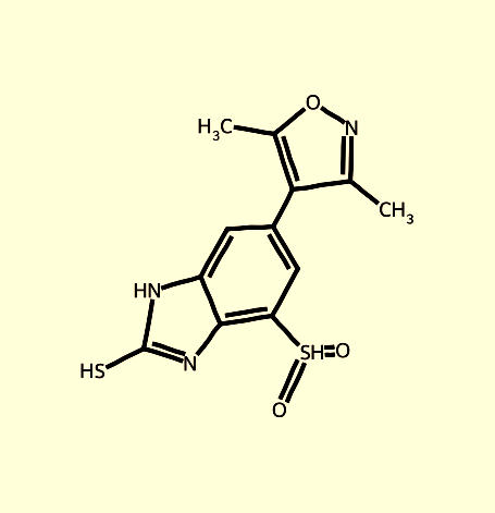 Cc1noc(C)c1-c1cc([SH](=O)=O)c2nc(S)[nH]c2c1